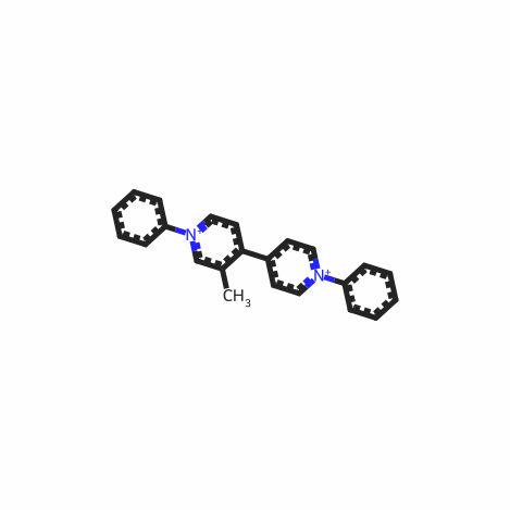 Cc1c[n+](-c2ccccc2)ccc1-c1cc[n+](-c2ccccc2)cc1